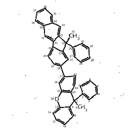 CC1(c2ccccc2)c2ccccc2Oc2cc(-c3ccc4c(c3)C(C)(c3ccccc3)c3cc5ccccc5cc3-4)ccc21